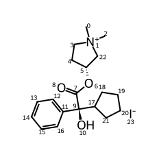 C[N+]1(C)CC[C@@H](OC(=O)[C@@](O)(c2ccccc2)C2CCCC2)C1.[I-]